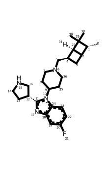 C[C@@H]1C2C[C@@H](CN3CCC(n4c([C@@H]5CCNC5)nc5cc(F)ccc54)CC3)[C@H]2C1(C)C